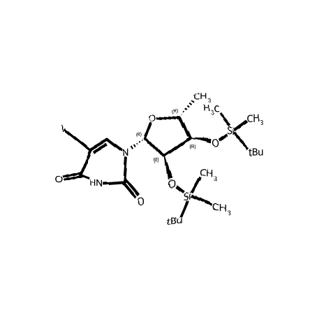 C[C@H]1O[C@@H](n2cc(I)c(=O)[nH]c2=O)[C@H](O[Si](C)(C)C(C)(C)C)[C@@H]1O[Si](C)(C)C(C)(C)C